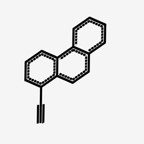 [C]#Cc1cccc2c1ccc1ccccc12